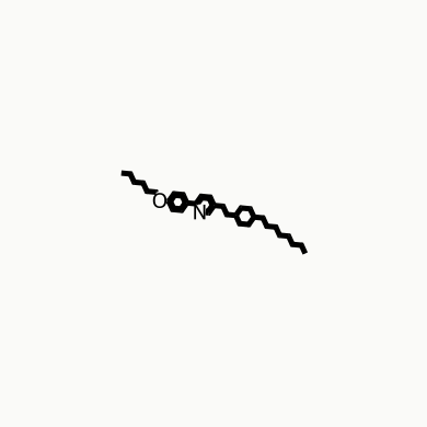 CCCCCCCCC1CCC(CCc2ccc(-c3ccc(OCCCCCC)cc3)nc2)CC1